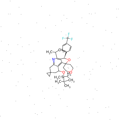 CC(C)c1nc2c(c3c1[C@@H](c1ccc(C(F)(F)F)cc1)OC31CCOCC1)C(O[Si](C)(C)C(C)(C)C)CC1(CC1)C2